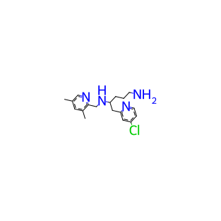 Cc1cnc(CNC(CCCN)Cc2cc(Cl)ccn2)c(C)c1